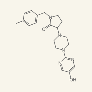 Cc1ccc(CN2CCC(N3CCN(c4ncc(O)cn4)CC3)C2=O)cc1